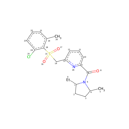 CCC1CCC(C)N1C(=O)c1cccc(CS(=O)(=O)c2c(C)cccc2Cl)n1